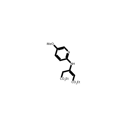 CCOC(=O)C=C(CC(=O)OCC)Nc1ccc(OC)cn1